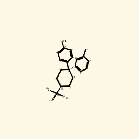 Cc1cccc([C@]2(c3ccc(O)cc3)CC[C@@H](C(F)(F)F)CC2)c1